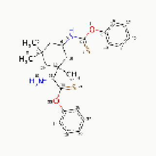 CC1(C)CC(NC(=S)Oc2ccccc2)CC(C)(C(N)C(=S)Oc2ccccc2)C1